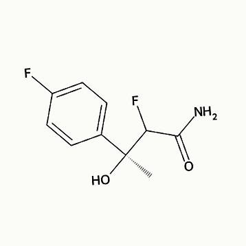 C[C@](O)(c1ccc(F)cc1)C(F)C(N)=O